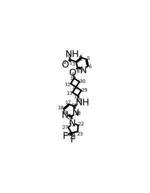 NC(=O)c1cccnc1OC1CC2(CC(Nc3ccnc(N4CCC(F)(F)C4)n3)C2)C1